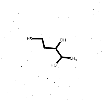 CC(O)C(O)CCS